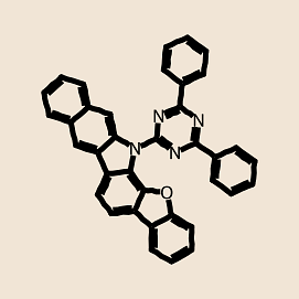 c1ccc(-c2nc(-c3ccccc3)nc(-n3c4cc5ccccc5cc4c4ccc5c6ccccc6oc5c43)n2)cc1